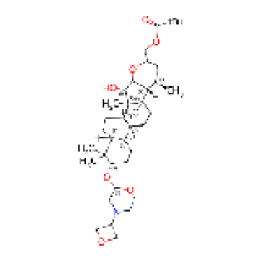 C[C@@H]1CC(COC(=O)C(C)(C)C)OC2[C@H]1[C@@]1(C)CC[C@@]34C[C@@]35CC[C@H](O[C@H]3CN(C6COC6)CCO3)C(C)(C)[C@@H]5CCC4[C@]1(C)[C@H]2O